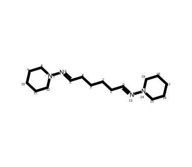 C(/CCCC/C=N/N1CCCCC1)=N\N1CCCCC1